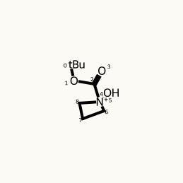 CC(C)(C)OC(=O)[N+]1(O)CCC1